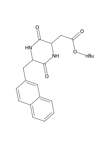 CCCCOC(=O)CC1NC(=O)C(Cc2ccc3ccccc3c2)NC1=O